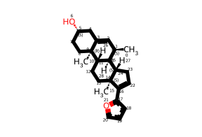 C[C@@H]1C=C2C[C@@H](O)CC[C@]2(C)[C@H]2CC[C@]3(C)C(c4ccco4)=CC[C@H]3[C@H]12